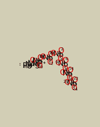 [Mg+2].[Ni+2].[O]=[Nb](=[O])[O-].[O]=[Nb](=[O])[O-].[O]=[Nb](=[O])[O-].[O]=[Nb](=[O])[O-].[O]=[Nb](=[O])[O-].[O]=[Nb](=[O])[O-].[Pb+2]